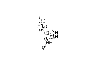 COCCNC(=O)c1cn2ncnc(N)c2c1-c1ccc(NC(=O)Nc2cccc(CI)c2C)cc1